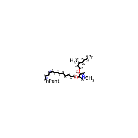 CCCCC/C=C\C/C=C\CCCCCCCCOC1CN(C)CC1OCCC(C)CCCC(C)C